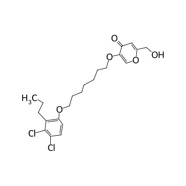 CCCc1c(OCCCCCCCOc2coc(CO)cc2=O)ccc(Cl)c1Cl